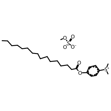 CCCCCCCCCCCCCCCC(=O)Oc1ccc([S+](C)C)cc1.COS(=O)(=O)[O-]